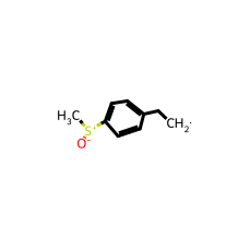 [CH2]Cc1ccc([S+](C)[O-])cc1